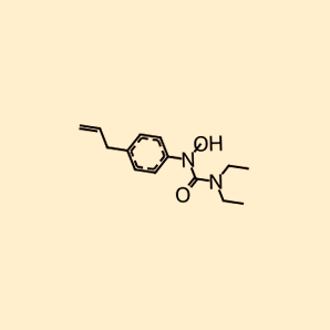 C=CCc1ccc(N(O)C(=O)N(CC)CC)cc1